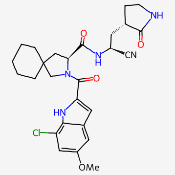 COc1cc(Cl)c2[nH]c(C(=O)N3CC4(CCCCC4)C[C@H]3C(=O)N[C@H](C#N)C[C@@H]3CCNC3=O)cc2c1